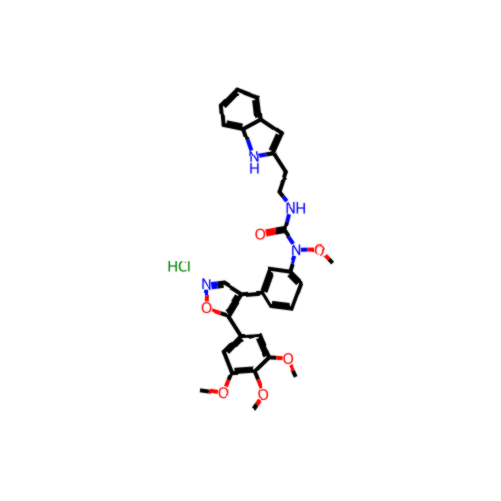 COc1cc(-c2oncc2-c2cccc(N(OC)C(=O)NCCc3cc4ccccc4[nH]3)c2)cc(OC)c1OC.Cl